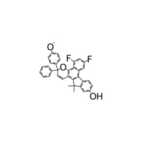 COc1ccc(C2(c3ccccc3)C=Cc3c4c(c5cc(F)cc(F)c5c3O2)-c2ccc(O)cc2C4(C)C)cc1